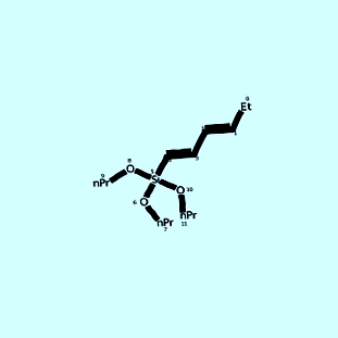 CCC=CC=C[Si](OCCC)(OCCC)OCCC